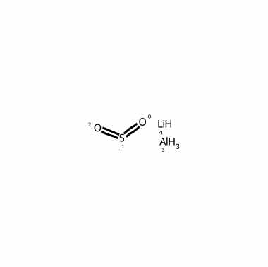 O=S=O.[AlH3].[LiH]